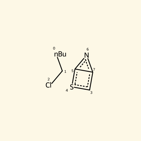 CCCCCCl.c1sc2nc1-2